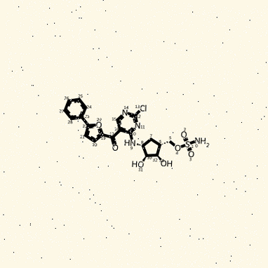 NS(=O)(=O)OC[C@H]1C[C@@H](Nc2nc(Cl)ncc2C(=O)c2ccc(-c3ccccc3)o2)[C@H](O)[C@@H]1O